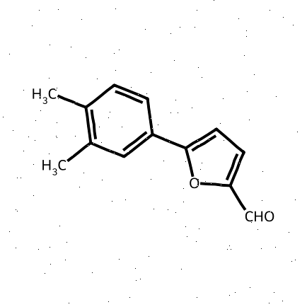 Cc1ccc(-c2ccc(C=O)o2)cc1C